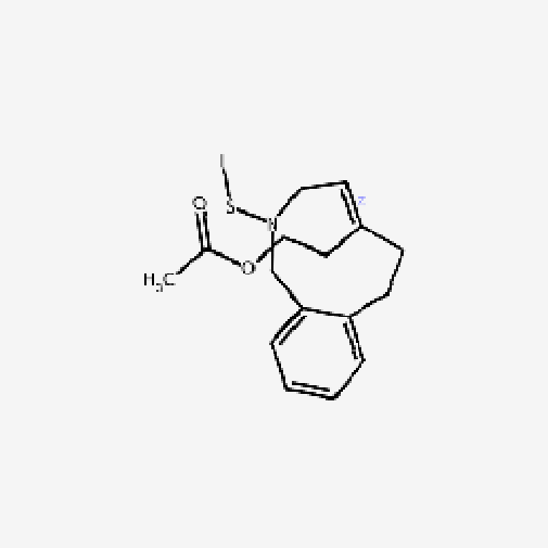 CC(=O)OCC/C1=C\CN(SI)Cc2ccccc2CC1